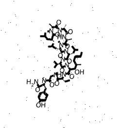 C/C=C/C[C@@H](C)[C@@H](O)C(C(=O)N[C@H](CC)C(=O)N(C)CC(=O)N(C)[C@@H](Cc1ccc(O)cc1)C(N)=O)N(C)C(=O)[C@@H](C(C)C)N(C)C(=O)[C@@H](CC(C)C)N(C)C(=O)[C@H](CC(C)C)N(C)C(=O)[C@H](C)NC(=O)[C@@H](C)NC(=O)[C@H](C)N(C)C(=O)[C@H](C)CC(C)C